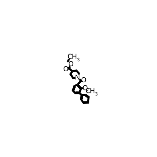 CCOC(=O)C1CCN(C(=O)c2cccc(-c3ccccc3)c2OC)CC1